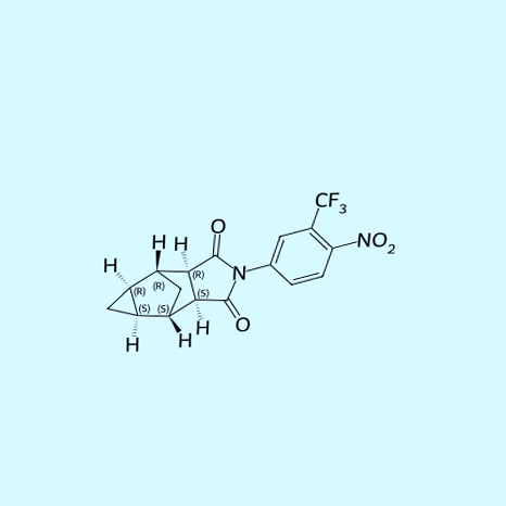 O=C1[C@@H]2[C@@H]3C[C@@H]([C@H]4C[C@H]43)[C@@H]2C(=O)N1c1ccc([N+](=O)[O-])c(C(F)(F)F)c1